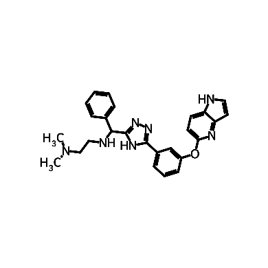 CN(C)CCNC(c1ccccc1)c1nnc(-c2cccc(Oc3ccc4[nH]ccc4n3)c2)[nH]1